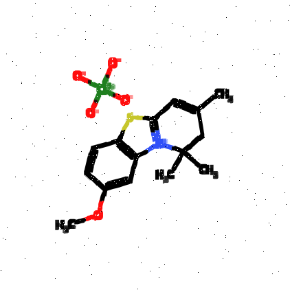 COc1ccc2sc3[n+](c2c1)C(C)(C)CC(C)=C3.[O-][Cl+3]([O-])([O-])[O-]